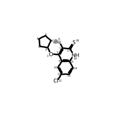 CCC(C)c1c(OC2CCCC2)c2cc(Cl)ccc2[nH]c1=S